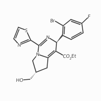 CCOC(=O)C1=C2C[C@H](CO)CN2C(c2nccs2)=N[C@H]1c1ccc(F)cc1Br